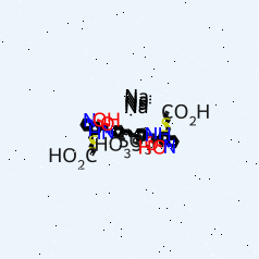 O=C(O)CCSCc1cc(C(=O)Nc2ccc(C=Cc3ccc(NC(=O)c4cc(CSCCC(=O)O)c5cccnc5c4O)cc3S(=O)(=O)O)c(S(=O)(=O)O)c2)c(O)c2ncccc12.[Na].[Na].[Na].[Na]